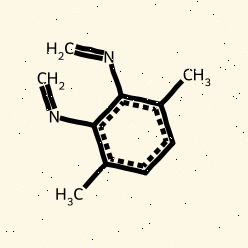 C=Nc1c(C)ccc(C)c1N=C